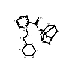 O=C(OC12CC3CC(CC(C3)C1)C2)c1cccc[n+]1OCC1CCCCC1